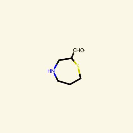 O=[C]C1CNCCCS1